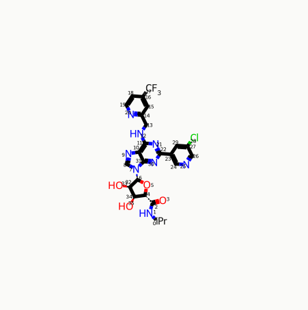 CC(C)NC(=O)[C@H]1O[C@@H](n2cnc3c(NCc4cc(C(F)(F)F)ccn4)nc(-c4cncc(Cl)c4)nc32)[C@H](O)[C@@H]1O